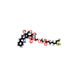 CCC1(OC(=O)OCCOCCOC(=O)CCCCC2CCSS2)C(=O)OCc2c1cc1n(c2=O)Cc2cc3ccccc3nc2-1